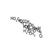 C=C(C)[C@@H]1CC[C@]2(NC(=O)CN3CC4C[C@H]3CN4Cc3ccccc3)CC[C@]3(C)[C@H](CCC4[C@@]5(C)CC=C(c6ccc(C(=O)O)cc6)C(C)(C)C5CC[C@]43C)C12